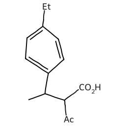 CCc1ccc(C(C)C(C(C)=O)C(=O)O)cc1